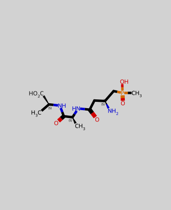 C[C@H](NC(=O)[C@H](C)NC(=O)C[C@H](N)CP(C)(=O)O)C(=O)O